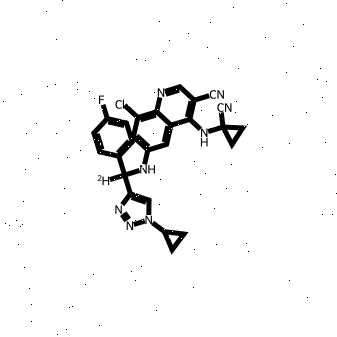 [2H]C(Nc1cc(Cl)c2ncc(C#N)c(NC3(C#N)CC3)c2c1)(c1ccc(F)cc1)c1cn(C2CC2)nn1